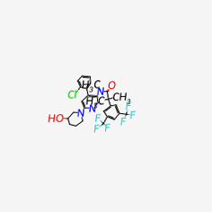 CN(C(=O)C(C)(C)c1cc(C(F)(F)F)cc(C(F)(F)F)c1)c1cnc(N2CCCC(O)C2)cc1-c1ccccc1Cl